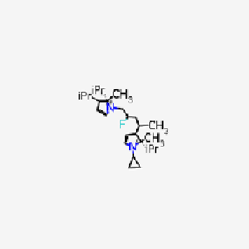 CC(C)C1C=CN(CC(F)CC(C)C2C=CN(C3CC3)[C@@]2(C)C(C)C)[C@@]1(C)C(C)C